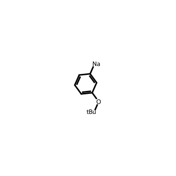 CC(C)(C)Oc1ccc[c]([Na])c1